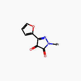 CC(C)N1N=C(c2ccco2)C(=O)C1=O